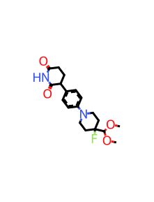 COC(OC)C1(F)CCN(c2ccc(C3CCC(=O)NC3=O)cc2)CC1